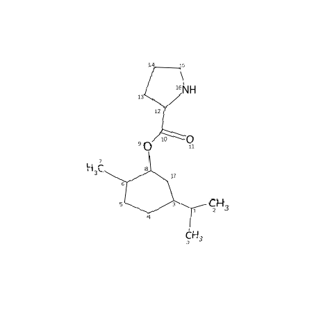 CC(C)C1CCC(C)C(OC(=O)C2CCCN2)C1